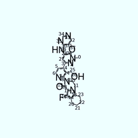 Cn1nc(-c2ccnc(N3CCn4c5c(c(F)c4C3=O)CCCC5)c2CO)cc(Nc2ccncn2)c1=O